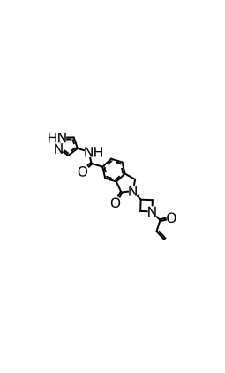 C=CC(=O)N1CC(N2Cc3ccc(C(=O)Nc4cn[nH]c4)cc3C2=O)C1